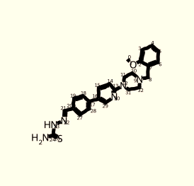 COc1ccccc1CN1CCN(c2ccc(-c3ccc(/C=N/NC(N)=S)cc3)cn2)CC1